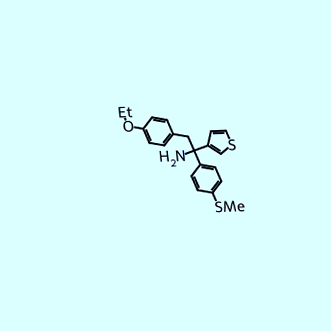 CCOc1ccc(CC(N)(c2ccc(SC)cc2)c2ccsc2)cc1